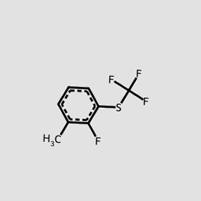 Cc1cccc(SC(F)(F)F)c1F